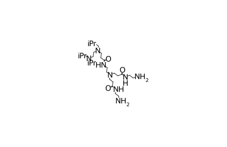 CC(C)CN(CCC(=O)NCCN(CCC(=O)NCCN)CCC(=O)NCCN)CCN(C(C)C)C(C)C